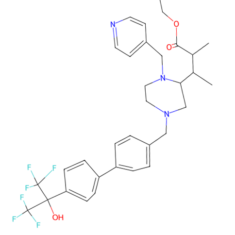 CCOC(=O)C(C)C(C)C1CN(Cc2ccc(-c3ccc(C(O)(C(F)(F)F)C(F)(F)F)cc3)cc2)CCN1Cc1ccncc1